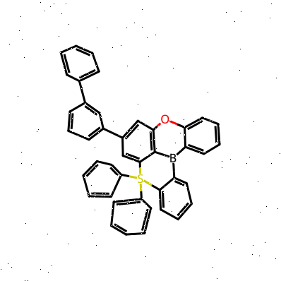 c1ccc(-c2cccc(-c3cc4c5c(c3)S(c3ccccc3)(c3ccccc3)c3ccccc3B5c3ccccc3O4)c2)cc1